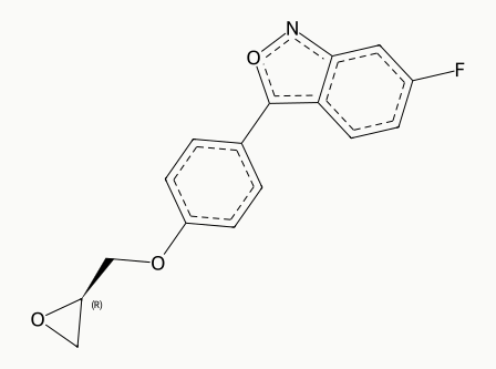 Fc1ccc2c(-c3ccc(OC[C@H]4CO4)cc3)onc2c1